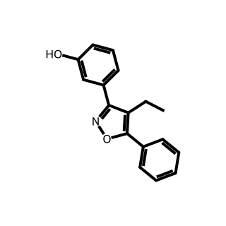 CCc1c(-c2cccc(O)c2)noc1-c1ccccc1